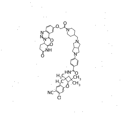 CC1(C)[C@H](NC(=O)c2ccc(N3CC4CN(CC5CCN(C(=O)COc6ccc7nnn(C8CCC(=O)NC8=O)c(=O)c7c6)CC5)CC4C3)cc2)C(C)(C)[C@H]1Oc1ccc(C#N)c(Cl)c1